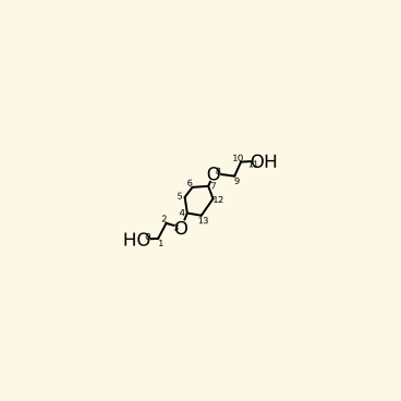 OCCOC1CCC(OCCO)CC1